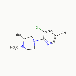 CC(C)(C)C1CN(c2ncc(C#N)cc2Cl)CCN1C(=O)O